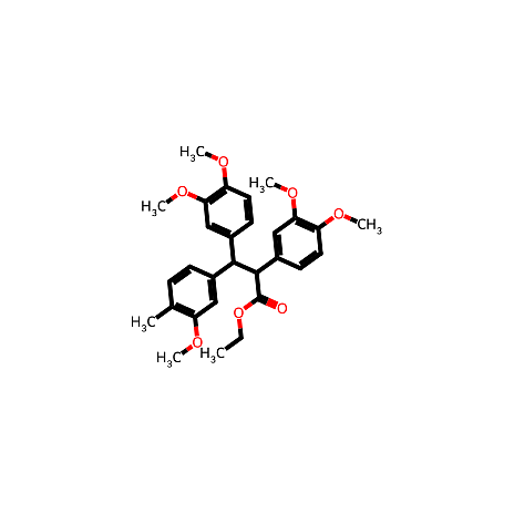 CCOC(=O)C(c1ccc(OC)c(OC)c1)C(c1ccc(C)c(OC)c1)c1ccc(OC)c(OC)c1